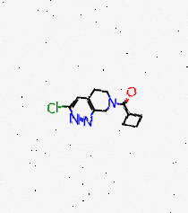 O=C(C1CCC1)N1CCc2cc(Cl)nnc2C1